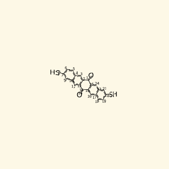 O=C1c2cc3ccc(S)cc3cc2C(=O)c2cc3ccc(S)cc3cc21